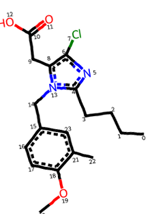 CCCCc1nc(Cl)c(CC(=O)O)n1Cc1ccc(OC)c(C)c1